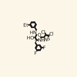 CCc1cccc(CNC[C@H](O)[C@H](Cc2cc(F)cc(F)c2)NC(=O)c2nsc(Cl)c2Cl)c1